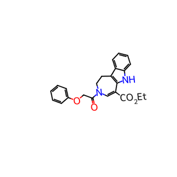 CCOC(=O)C1=CN(C(=O)COc2ccccc2)CCc2c1[nH]c1ccccc21